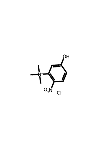 C[N+](C)(C)c1cc(O)ccc1[N+](=O)[O-].[Cl-]